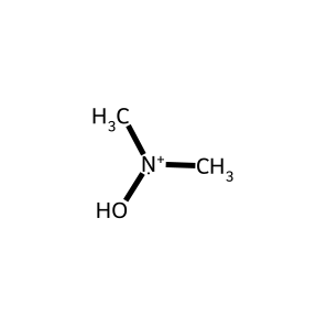 C[N+](C)O